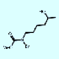 COC(=O)N(Br)CCCCC(C)O